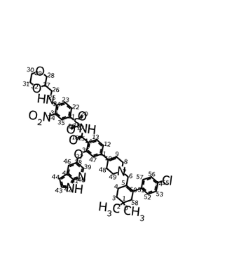 CC1(C)CCC(CN2CC=C(c3ccc(C(=O)NS(=O)(=O)c4ccc(NCC5COCCO5)c([N+](=O)[O-])c4)c(Oc4cnc5[nH]ccc5c4)c3)CC2)=C(c2ccc(Cl)cc2)C1